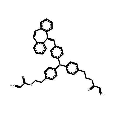 C=CC(=O)OCCc1ccc(N(c2ccc(C=C3c4ccccc4C=Cc4ccccc43)cc2)c2ccc(CCOC(=O)C=C)cc2)cc1